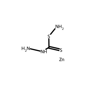 NNC(=S)SN.[Zn]